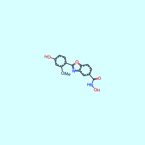 COc1cc(O)ccc1-c1nc2cc(C(=O)NO)ccc2o1